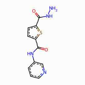 NNC(=O)c1ccc(C(=O)Nc2cccnc2)s1